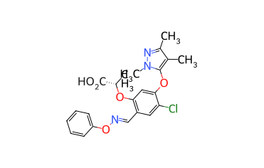 Cc1nn(C)c(Oc2cc(O[C@@H](C)C(=O)O)c(C=NOc3ccccc3)cc2Cl)c1C